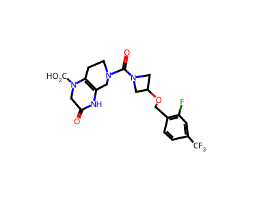 O=C1CN(C(=O)O)C2=C(CN(C(=O)N3CC(OCc4ccc(C(F)(F)F)cc4F)C3)CC2)N1